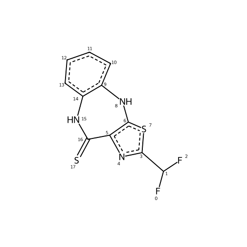 FC(F)c1nc2c(s1)Nc1ccccc1NC2=S